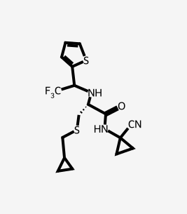 N#CC1(NC(=O)[C@H](CSCC2CC2)NC(c2cccs2)C(F)(F)F)CC1